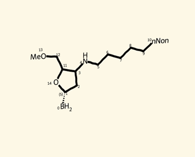 B[C@H]1CC(NCCCCCCCCCCCCCC)C(COC)O1